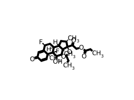 CCC(=O)OCC(=O)[C@@]1(OC(=O)CC)[C@@H](C)C[C@H]2[C@@H]3C[C@H](F)C4=CC(=O)C=C[C@]4(C)[C@@]3(F)C(O)C[C@@]21C